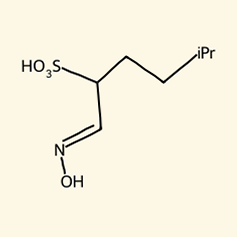 CC(C)CCC(C=NO)S(=O)(=O)O